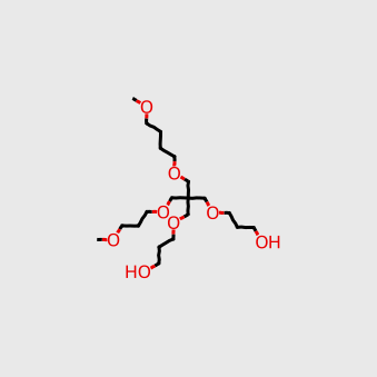 COCCCCOCC(COCCCO)(COCCCO)COCCCOC